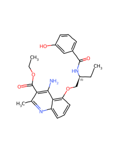 CCOC(=O)c1c(C)nc2cccc(OC[C@H](CC)NC(=O)c3cccc(O)c3)c2c1N